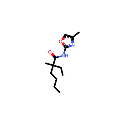 CCCCC(C)(CC)C(=O)Nc1nc(C)co1